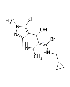 CC(=N)/C(=C(/Br)NCC1CC1)C(O)c1c(I)nn(C)c1Cl